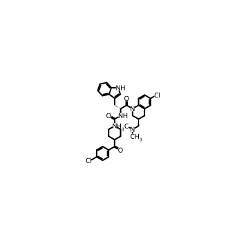 CN(C)C[C@@H]1Cc2cc(Cl)ccc2N(C(=O)[C@@H](Cc2c[nH]c3ccccc23)NC(=O)N2CCC(C(=O)c3ccc(Cl)cc3)CC2)C1